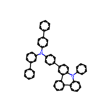 c1ccc(-c2ccc(N(c3ccc(-c4ccc5c(c4)-c4ccccc4-c4ccccc4N5c4ccccc4)cc3)c3cccc(-c4ccccc4)c3)cc2)cc1